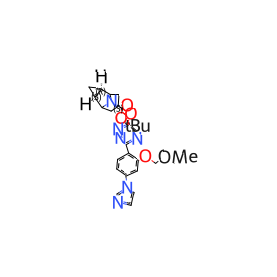 COCOc1cc(-n2ccnc2)ccc1-c1ncc(O[C@H]2CC3[C@H]4C[C@H]4C(C2)N3C(=O)OC(C)(C)C)nn1